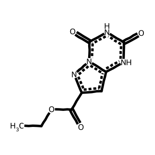 CCOC(=O)c1cc2[nH]c(=O)[nH]c(=O)n2n1